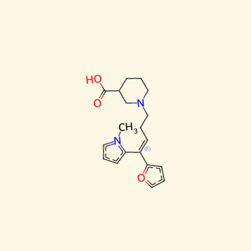 Cn1cccc1/C(=C\CCN1CCCC(C(=O)O)C1)c1ccco1